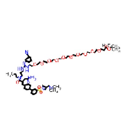 CCCN(CCCN/C(=N/c1cccc(C#N)c1)NCCOCCOCCOCCOCCOCCOCCOCCOCCOCCOCCC(=O)OC(C)(C)C)C(=O)C1=Cc2ccc(-c3cccc(S(=O)(=O)N4CC(CN(C)C)C4)c3)cc2N=C(N)C1